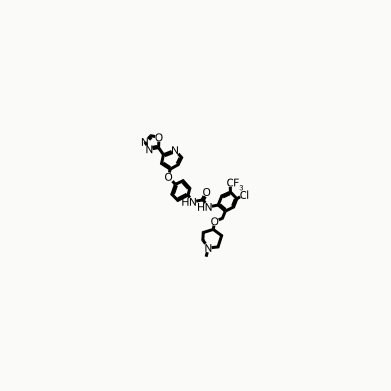 CN1CCC(OCc2cc(Cl)c(C(F)(F)F)cc2NC(=O)Nc2ccc(Oc3ccnc(-c4nnco4)c3)cc2)CC1